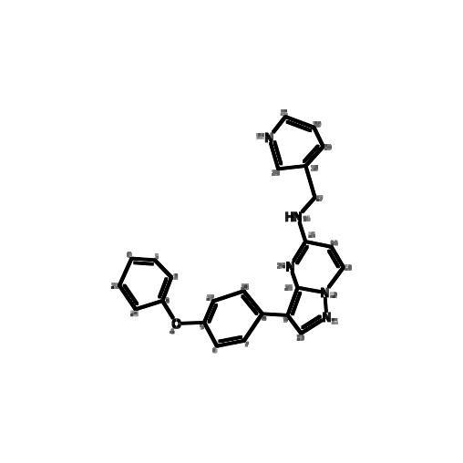 c1ccc(Oc2ccc(-c3cnn4ccc(NCc5cccnc5)nc34)cc2)cc1